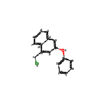 ClCc1cc(Oc2ccccc2)cc2ccccc12